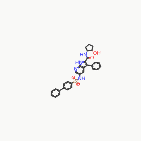 O=C(N[C@H]1CCC[C@H]1O)c1[nH]c2ncc(NS(=O)(=O)c3ccc(-c4ccccc4)cc3)cc2c1-c1ccccc1